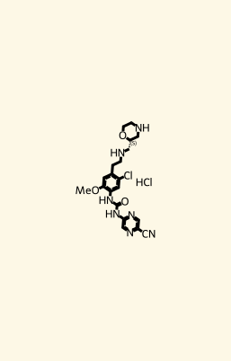 COc1cc(CCNC[C@H]2CNCCO2)c(Cl)cc1NC(=O)Nc1cnc(C#N)cn1.Cl